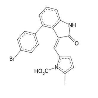 Cc1ccc(C=C2C(=O)Nc3cccc(-c4ccc(Br)cc4)c32)n1C(=O)O